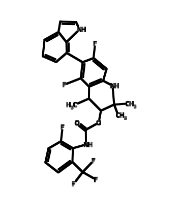 CC1c2c(cc(F)c(-c3cccc4cc[nH]c34)c2F)NC(C)(C)C1OC(=O)Nc1c(F)cccc1C(F)(F)F